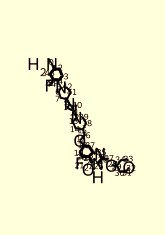 Nc1ccc(N2CCC(N3CC(N4CCC(COc5cc(F)c6c(=O)[nH]c(COC7CCOCC7)nc6c5)CC4)C3)CC2)c(F)c1